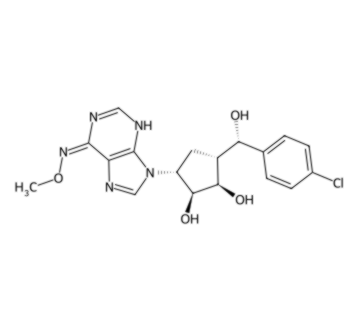 CO/N=c1/nc[nH]c2c1ncn2[C@@H]1C[C@H]([C@H](O)c2ccc(Cl)cc2)[C@@H](O)[C@H]1O